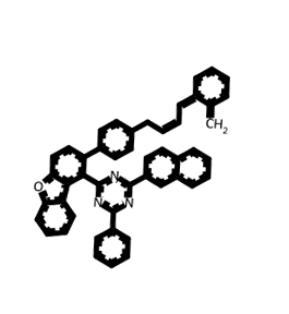 C=c1cccc/c1=C/C=C\Cc1ccc(-c2ccc3oc4ccccc4c3c2-c2nc(-c3ccccc3)nc(-c3ccc4ccccc4c3)n2)cc1